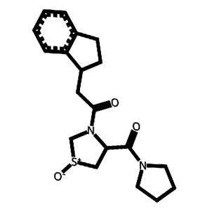 O=C(C1C[S+]([O-])CN1C(=O)CC1CCc2ccccc21)N1CCCC1